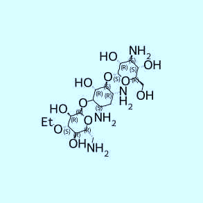 CCO[C@@H]1[C@@H](O)[C@@H](OC2[C@@H](N)C[C@@H](N)[C@H](O[C@H]3O[C@H](CO)[C@@H](O)[C@H](N)[C@H]3O)[C@H]2O)O[C@H](CN)[C@H]1O